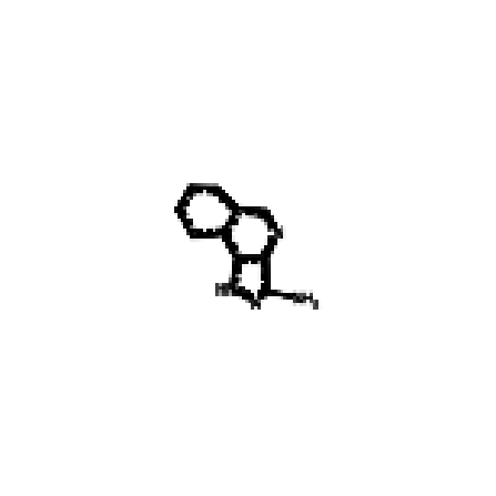 Nc1n[nH]c2c1ncc1ccccc12